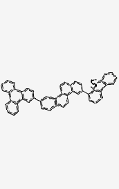 c1ccc2c(c1)sc1c(-c3ccc4ccc5c6cc(-c7ccc8c9ccccc9c9ccccc9c8c7)ccc6ccc5c4c3)cccc12